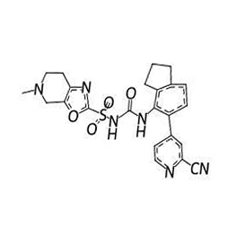 CN1CCc2nc(S(=O)(=O)NC(=O)Nc3c(-c4ccnc(C#N)c4)ccc4c3CCC4)oc2C1